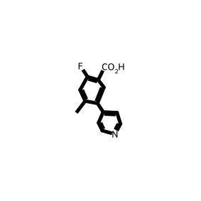 Cc1cc(F)c(C(=O)O)cc1-c1ccncc1